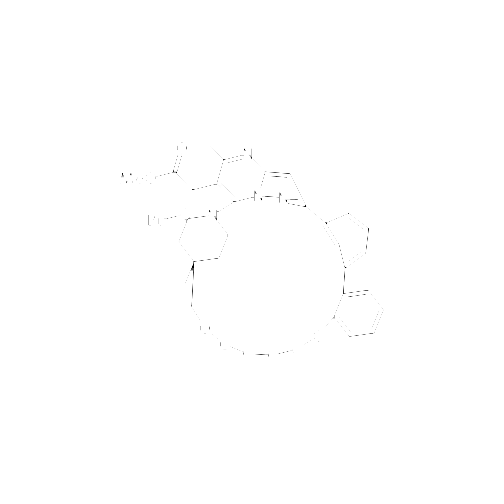 COC(=O)[C@@H](OC(C)(C)C)c1c(C)nc2cc3nn2c1N1CCC(C)(CC1)COCCCCCc1ccccc1-c1cccc-3c1